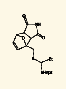 CCCCCCCC(CC)SCC12C=CC(O1)C1C(=O)NC(=O)C12